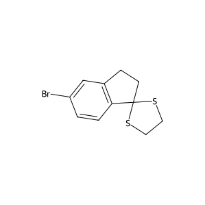 Brc1ccc2c(c1)CCC21SCCS1